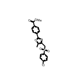 COC(=O)c1ccc(-c2nc(CS(=O)(=O)c3ccc(Cl)cc3)c(C)o2)cc1